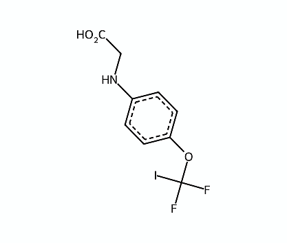 O=C(O)CNc1ccc(OC(F)(F)I)cc1